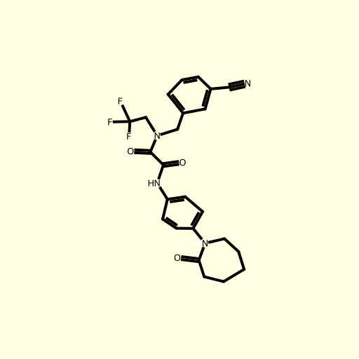 N#Cc1cccc(CN(CC(F)(F)F)C(=O)C(=O)Nc2ccc(N3CCCCCC3=O)cc2)c1